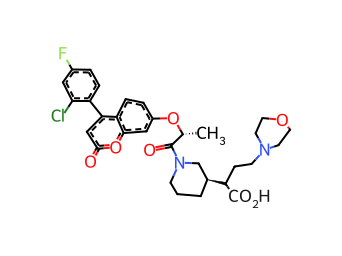 C[C@@H](Oc1ccc2c(-c3ccc(F)cc3Cl)cc(=O)oc2c1)C(=O)N1CCC[C@H](C(CCN2CCOCC2)C(=O)O)C1